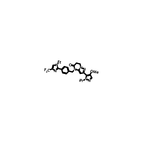 CCn1cc(C(F)(F)F)nc1-c1ccc(CN2C(=O)CCn3nc(-c4c(OC)cnn4C(C)C)cc32)cc1